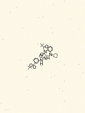 CC(C)(C)OC(=O)c1cccc(NC(=O)NC2CN(C3CCCC3)c3ccccc3N(CC(=O)C(C)(C)C)C2=O)c1